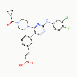 O=C(O)C=Cc1cccc(-c2cnc(Nc3ccc(F)c(Cl)c3)nc2N2CCN(C(=O)C3CC3)CC2)c1